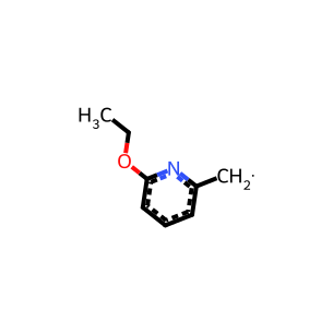 [CH2]c1cccc(OCC)n1